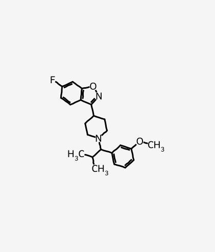 COc1cccc(C(C(C)C)N2CCC(c3noc4cc(F)ccc34)CC2)c1